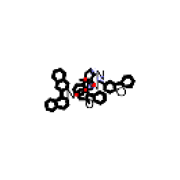 CC1C/C=C(c2ccc3ccccc3c2)/N=C(c2ccc3oc4ccccc4c3c2)\N=C/1c1cc(-n2c3cc4ccccc4cc3c3c4ccccc4ccc32)cc2oc3ccccc3c12